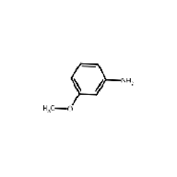 COc1cc[c]c(N)c1